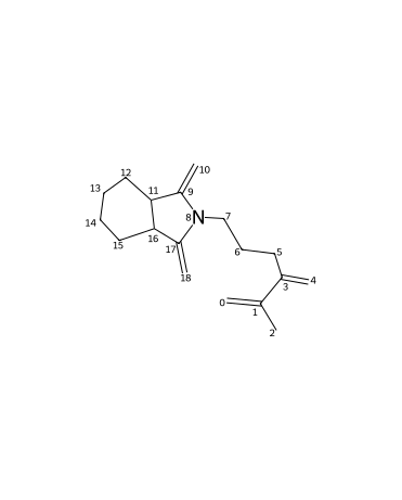 C=C(C)C(=C)CCCN1C(=C)C2CCCCC2C1=C